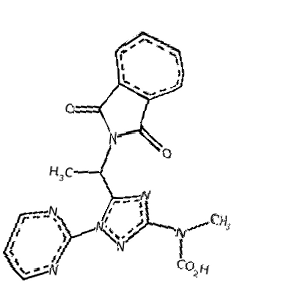 CC(c1nc(N(C)C(=O)O)nn1-c1ncccn1)N1C(=O)c2ccccc2C1=O